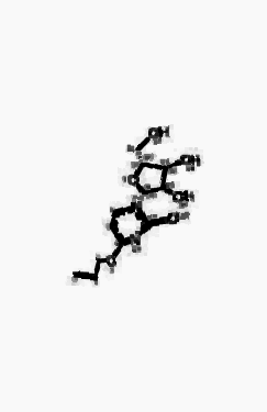 C=CCOc1ccn([C@@H]2O[C@H](CO)[C@@H](O)[C@H]2O)c(=O)n1